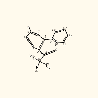 C=C(c1ccc(C)cc1-c1ccccc1)C(F)(F)F